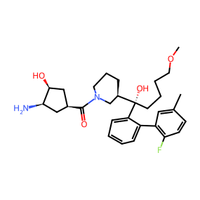 COCCCC[C@@](O)(c1ccccc1-c1cc(C)ccc1F)[C@@H]1CCCN(C(=O)[C@H]2C[C@@H](N)[C@@H](O)C2)C1